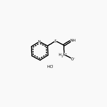 Cl.N=C([NH2+][O-])Sc1ccccn1